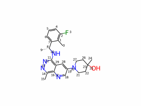 Cc1c(F)cccc1[C@@H](C)Nc1nnc(C)c2ncc(N3CCC(C)(O)CC3)cc12